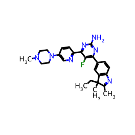 CCC1(C)C(C)=Nc2ccc(-c3nc(N)nc(-c4ccc(N5CCN(C)CC5)cn4)c3F)cc21